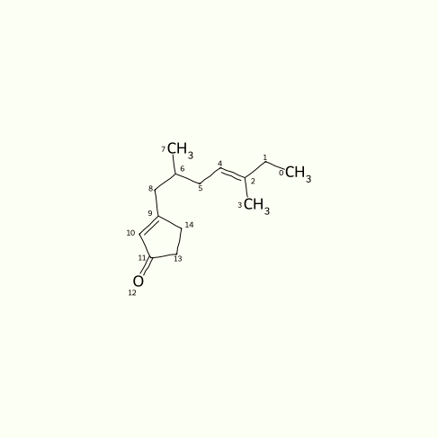 CC/C(C)=C/CC(C)CC1=CC(=O)CC1